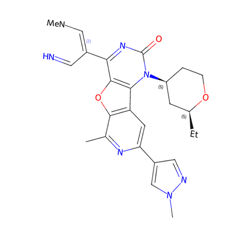 CC[C@H]1C[C@@H](n2c(=O)nc(/C(C=N)=C/NC)c3oc4c(C)nc(-c5cnn(C)c5)cc4c32)CCO1